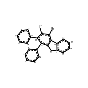 Fc1c(Br)c2c(c(-c3ccccc3)c1-c1ccccc1)Cc1ccccc1-2